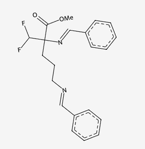 COC(=O)C(CCCN=Cc1ccccc1)(N=Cc1ccccc1)C(F)F